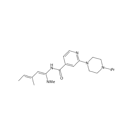 C/C=C(C)/C=C(\NC)NC(=O)c1ccnc(N2CCN(C(C)C)CC2)c1